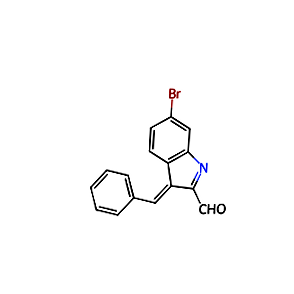 O=CC1=Nc2cc(Br)ccc2C1=Cc1ccccc1